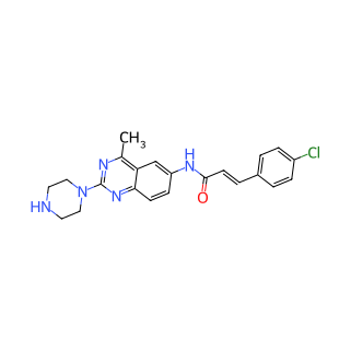 Cc1nc(N2CCNCC2)nc2ccc(NC(=O)C=Cc3ccc(Cl)cc3)cc12